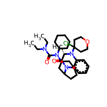 CCN(CC)C(=O)N(C1CCCCC1)C1CC2CCC(C1)N2C(=O)[C@H](C)N(c1ccccc1)C1(Cl)CCOCC1